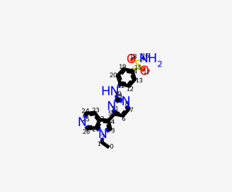 CCn1cc(-c2ccnc(Nc3ccc(S(N)(=O)=O)cc3)n2)c2ccncc21